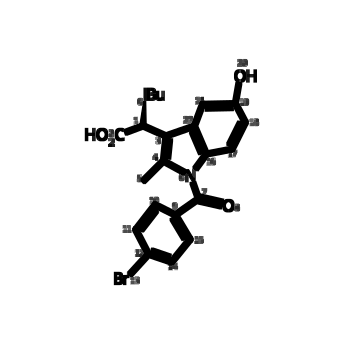 CC[C@H](C)C(C(=O)O)c1c(C)n(C(=O)c2ccc(Br)cc2)c2ccc(O)cc12